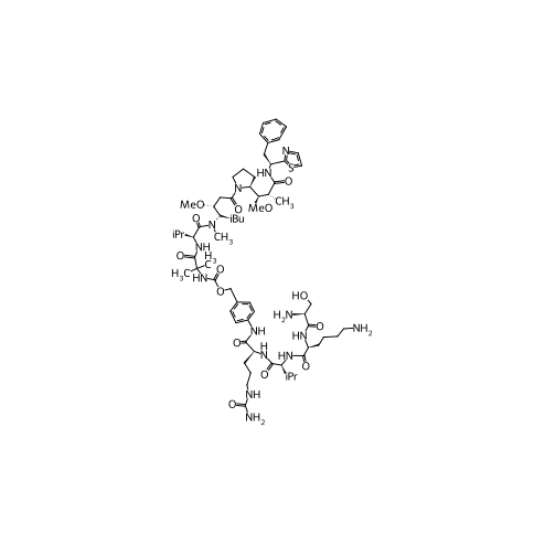 CC[C@H](C)[C@@H]([C@@H](CC(=O)N1CCC[C@H]1[C@H](OC)[C@@H](C)C(=O)N[C@@H](Cc1ccccc1)c1nccs1)OC)N(C)C(=O)[C@@H](NC(=O)C(C)(C)NC(=O)OCc1ccc(NC(=O)[C@H](CCCNC(N)=O)NC(=O)[C@@H](NC(=O)[C@H](CCCCN)NC(=O)[C@@H](N)CO)C(C)C)cc1)C(C)C